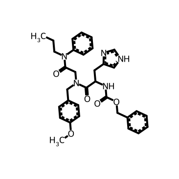 CCCN(C(=O)CN(Cc1ccc(OC)cc1)C(=O)C(Cc1c[nH]cn1)NC(=O)OCc1ccccc1)c1ccccc1